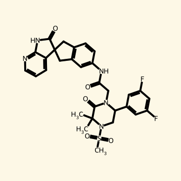 CC1(C)C(=O)N(CC(=O)Nc2ccc3c(c2)CC2(C3)C(=O)Nc3ncccc32)C(c2cc(F)cc(F)c2)CN1S(C)(=O)=O